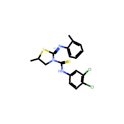 Cc1ccccc1/N=C1/SC(C)CN1C(=S)Nc1ccc(Cl)c(Cl)c1